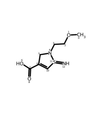 COCCN1CC(C(=O)O)=CS1=N